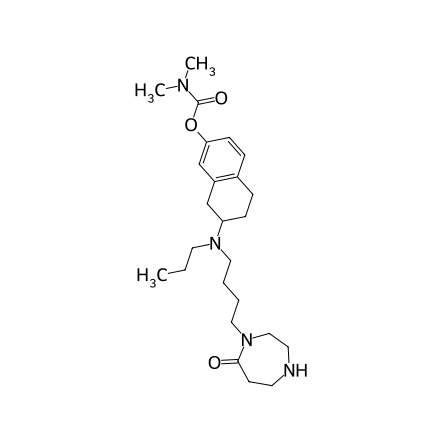 CCCN(CCCCN1CCNCCC1=O)C1CCc2ccc(OC(=O)N(C)C)cc2C1